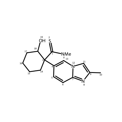 CNC(=S)C1(c2ccc3nc(C)cn3c2)CCCCC1O